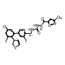 COc1cc(C(=O)NNC(=O)N[C@H](C)c2ncc(-c3cc(Cl)cc(F)c3C3C=CSC3)cc2F)on1